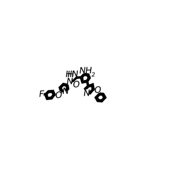 N=C(C(=O)Nc1ccc(Oc2ccc(F)cc2)nc1)c1cc(-c2cncc(Oc3ccccc3)c2)ccc1N